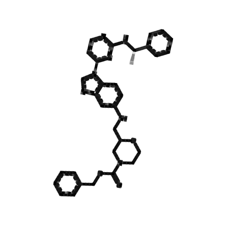 C[C@H](Nc1nccc(-n2cnc3cc(NCC4CN(C(=O)OCc5ccccc5)CCO4)ccc32)n1)c1ccccc1